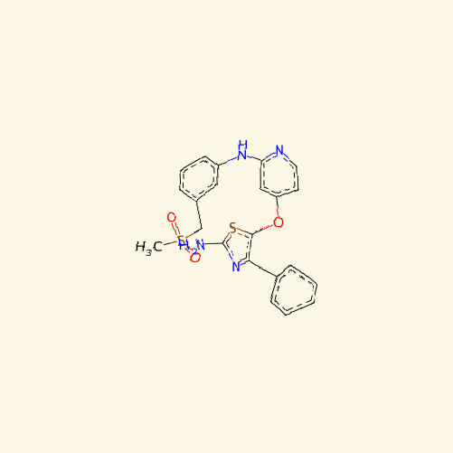 CS(=O)(=O)Cc1cccc(Nc2cc(Oc3sc(N)nc3-c3ccccc3)ccn2)c1